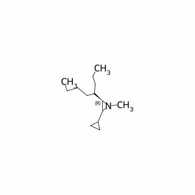 CCCCC(CCC)[C@@H]1C(C2CC2)N1C